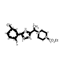 CCOC(=O)N1CCN(C(C)c2nnc(-c3cc(Cl)ccc3F)o2)CC1